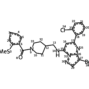 CSc1ccccc1C(=O)N1CCC(CNc2cc(-c3ccccc3Cl)nc3c(Br)cnn23)CC1